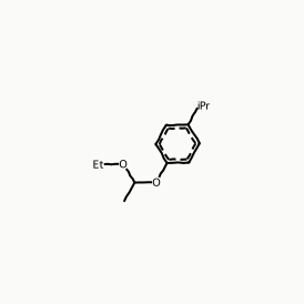 CCOC(C)Oc1ccc(C(C)C)cc1